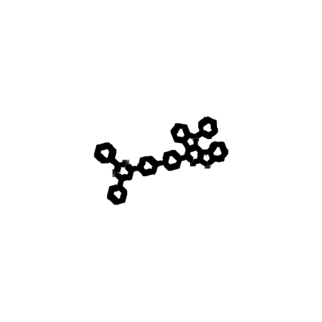 c1ccc(-c2cc(-c3ccc(-c4ccc(-c5nc6sc7ccccc7c6c6c5c5ccccc5n6-c5ccccc5)cc4)cc3)nc(-c3ccccc3)n2)cc1